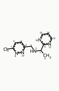 CC(NCc1ccc(Cl)nn1)c1ncccn1